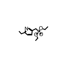 CCOP(=O)(Cc1ccc(CC)nc1)OCC